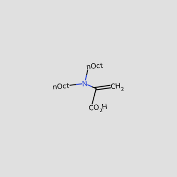 C=C(C(=O)O)N(CCCCCCCC)CCCCCCCC